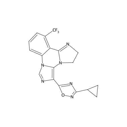 FC(F)(F)c1cccc2c1C1=NCCN1c1c(-c3nc(C4CC4)no3)ncn1-2